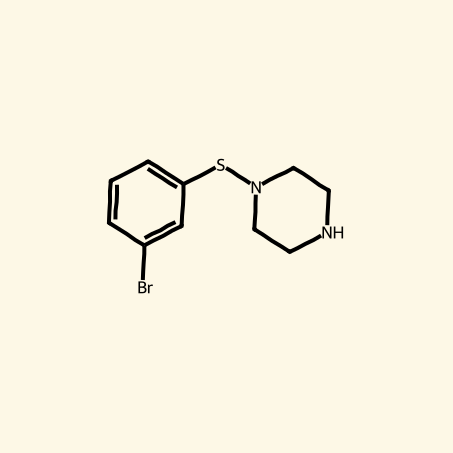 Brc1cccc(SN2CCNCC2)c1